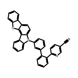 N#Cc1ccc(-c2ccccc2-c2cccc(-n3c4ccccc4c4c5oc6ccccc6c5ccc43)c2)nc1